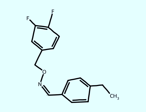 CCc1ccc(/[C]=N\OCc2ccc(F)c(F)c2)cc1